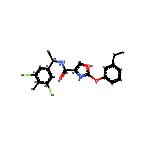 CCc1cccc(Oc2nc(C(=O)N[C@H](C)c3cc(F)c(C)c(F)c3)co2)c1